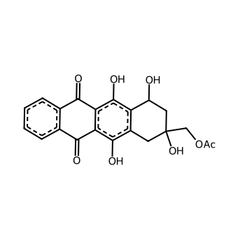 CC(=O)OCC1(O)Cc2c(O)c3c(c(O)c2C(O)C1)C(=O)c1ccccc1C3=O